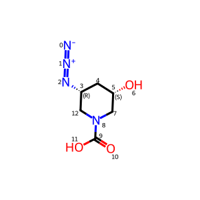 [N-]=[N+]=N[C@@H]1C[C@H](O)CN(C(=O)O)C1